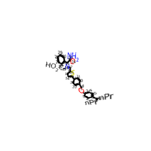 CCCC(CCC)c1ccc(OCc2ccc(-c3ccc(CN(CC(=O)O)C(C(N)=O)c4ccccc4)s3)cc2)cc1